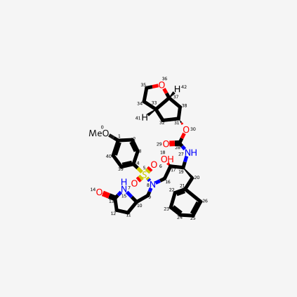 COc1ccc(S(=O)(=O)N(CC2CCC(=O)N2)C[C@@H](O)[C@H](Cc2ccccc2)NC(=O)O[C@@H]2C[C@@H]3CCO[C@@H]3C2)cc1